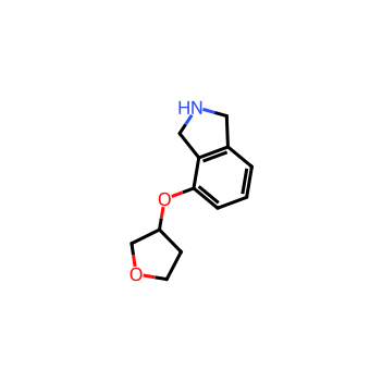 c1cc2c(c(OC3CCOC3)c1)CNC2